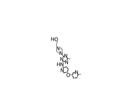 Cc1ccc(Oc2ccc(Nc3nc(C)nc(N4CCN(CCO)CC4)n3)nc2)cn1